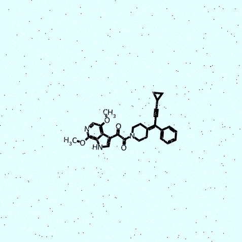 COc1ncc(OC)c2c(C(=O)C(=O)N3CCC(=C(C#CC4CC4)c4ccccc4)CC3)c[nH]c12